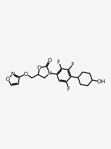 O=C1OC(COc2ccon2)CN1c1cc(F)c(C2CCC(O)CC2)c(F)c1F